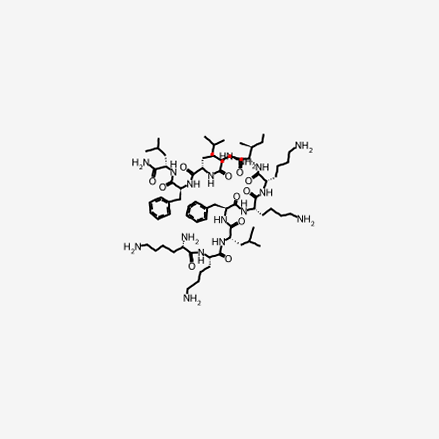 CC[C@H](C)[C@H](NC(=O)[C@H](CCCCN)NC(=O)[C@H](CCCCN)NC(=O)[C@H](Cc1ccccc1)NC(=O)[C@H](CC(C)C)NC(=O)[C@H](CCCCN)NC(=O)[C@@H](N)CCCCN)C(=O)N[C@@H](CC(C)C)C(=O)N[C@@H](CCCCN)C(=O)N[C@@H](Cc1ccccc1)C(=O)N[C@@H](CC(C)C)C(N)=O